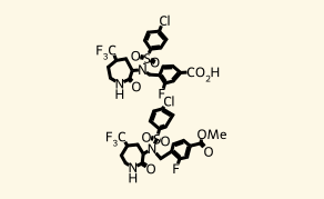 COC(=O)c1ccc(CN(C2CC(C(F)(F)F)CCNC2=O)S(=O)(=O)c2ccc(Cl)cc2)c(F)c1.O=C(O)c1ccc(CN(C2CC(C(F)(F)F)CCNC2=O)S(=O)(=O)c2ccc(Cl)cc2)c(F)c1